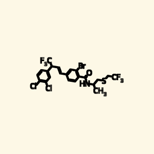 CC(CSCC(F)(F)F)NC(=O)c1ccc(/C=C/C(c2ccc(Cl)c(Cl)c2)C(F)(F)F)cc1Br